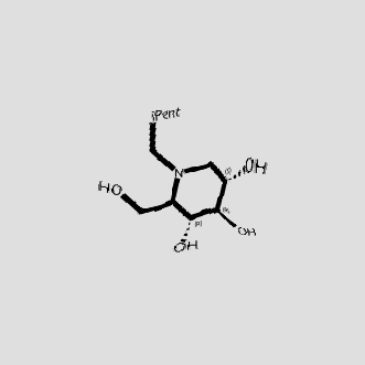 CCCC(C)CN1C[C@H](O)[C@@H](O)[C@H](O)C1CO